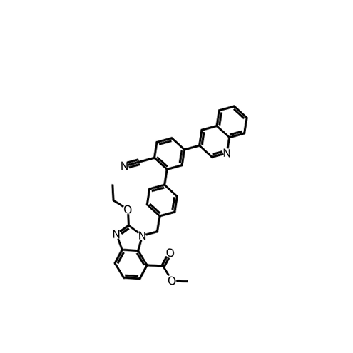 CCOc1nc2cccc(C(=O)OC)c2n1Cc1ccc(-c2cc(-c3cnc4ccccc4c3)ccc2C#N)cc1